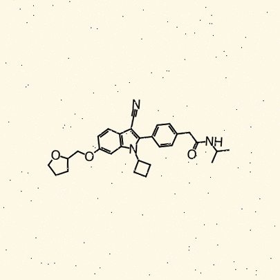 CC(C)NC(=O)Cc1ccc(-c2c(C#N)c3ccc(OCC4CCCO4)cc3n2C2CCC2)cc1